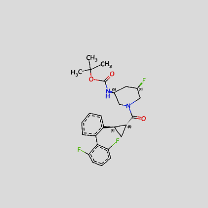 CC(C)(C)OC(=O)N[C@H]1C[C@@H](F)CN(C(=O)[C@@H]2C[C@H]2c2ccccc2-c2c(F)cccc2F)C1